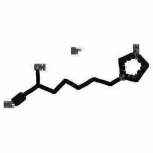 C#CC(O)CCCCC[n+]1cc[nH]c1.[Br-]